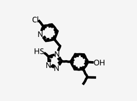 CC(C)c1cc(-c2nnc(S)n2Cc2ccc(Cl)nc2)ccc1O